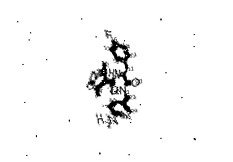 Cc1noc(C)c1C(=O)N[C@@H](Cc1ccc(F)cc1)C(=O)NCc1ccc(N)nc1